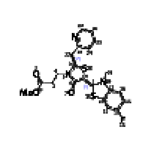 COC(=O)CCn1c(=O)/c(=C2\Sc3cc(F)ccc3N2C)s/c1=C\c1ccccn1